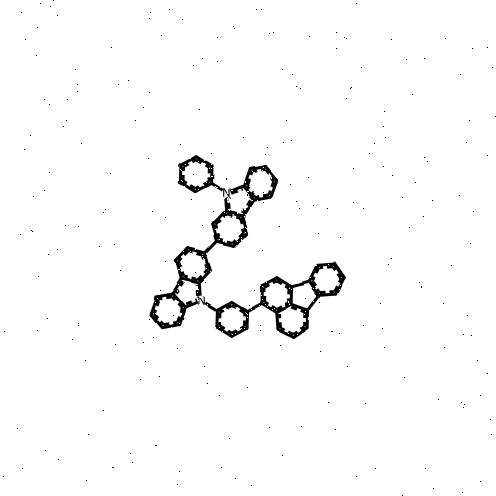 c1ccc(-n2c3ccccc3c3ccc(-c4ccc5c6ccccc6n(-c6cccc(-c7ccc8c9c(cccc79)-c7ccccc7-8)c6)c5c4)cc32)cc1